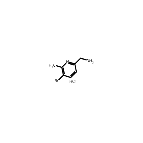 Cc1nc(CN)ccc1Br.Cl